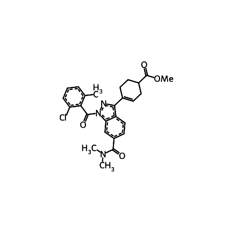 COC(=O)C1CC=C(c2nn(C(=O)c3c(C)cccc3Cl)c3cc(C(=O)N(C)C)ccc23)CC1